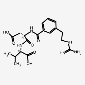 CC(C)[C@H](NC(=O)[C@H](CC(=O)O)NC(=O)c1cccc(CCNC(=N)N)c1)C(=O)O